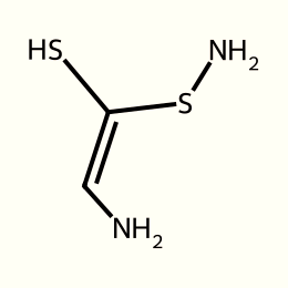 N/C=C(/S)SN